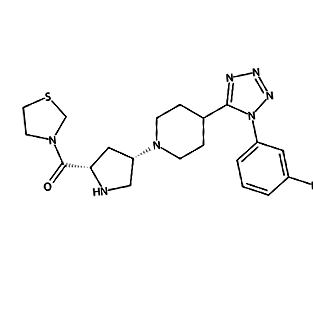 O=C([C@@H]1C[C@H](N2CCC(c3nnnn3-c3cccc(F)c3)CC2)CN1)N1CCSC1